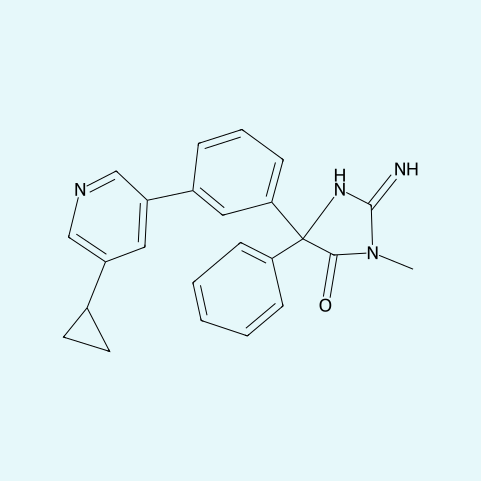 CN1C(=N)NC(c2ccccc2)(c2cccc(-c3cncc(C4CC4)c3)c2)C1=O